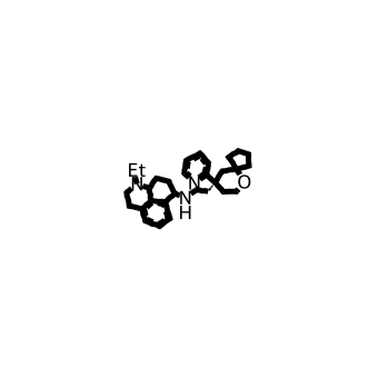 CCN1CCc2cccc3c2C1CCC3NCC[C@@]1(c2ccccn2)CCOC2(CCCC2)C1